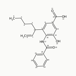 C=CC(CCCC)c1cc(C(=O)O)cc(O)c1NC(=O)c1ccccc1